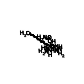 CCCCCCCCCCCCOc1ccc(NC(=N)N)cc1NC(=N)N.NCC(=O)O